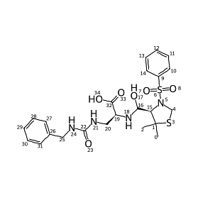 CC1(C)SCN(S(=O)(=O)c2ccccc2)[C@@H]1C(O)N[C@@H](CNC(=O)NCc1ccccc1)C(=O)O